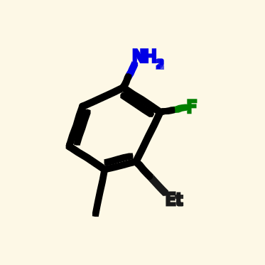 CCc1c(C)ccc(N)c1F